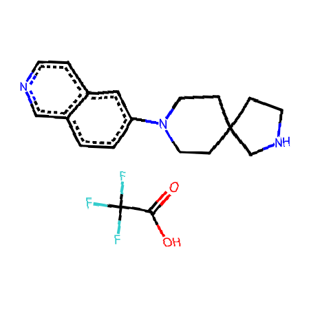 O=C(O)C(F)(F)F.c1cc2cc(N3CCC4(CCNC4)CC3)ccc2cn1